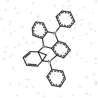 C1=CC23CC2(C=C1)N(c1ccccc1)c1cccc2c1B3c1ccccc1N2c1ccccc1